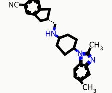 Cc1ccc2c(c1)nc(C)n2C1CCC(NC[C@H]2Cc3ccc(C#N)cc3C2)CC1